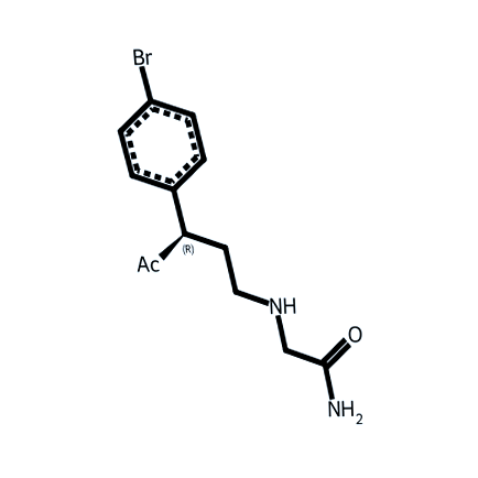 CC(=O)[C@H](CCNCC(N)=O)c1ccc(Br)cc1